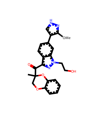 COc1n[nH]cc1-c1ccc2c(C(=O)C3(C)COc4ccccc4O3)nn(CCO)c2c1